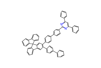 c1ccc(-c2ccc(-c3cc4c(cc3-c3ccc(-c5ccc(-c6nc(-c7ccccc7)cc(-c7ccccc7)n6)cc5)cc3)C3(c5ccccc5-c5ccccc53)c3ccccc3-4)cc2)cc1